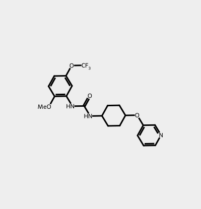 COc1ccc(OC(F)(F)F)cc1NC(=O)NC1CCC(Oc2cccnc2)CC1